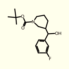 CC(C)(C)OC(=O)N1CCCC(C(O)c2cccc(F)c2)C1